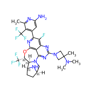 Cc1nc(N)cc(-c2nc3c4c(nc(N5CC(C)(N(C)C)C5)nc4c2F)N2C[C@H]4CC[C@H](N4)[C@H]2[C@H](C(F)(F)F)O3)c1C(F)(F)F